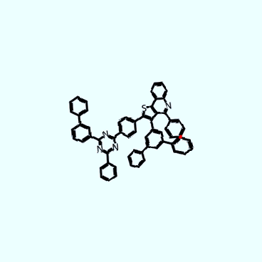 c1ccc(-c2cccc(-c3nc(-c4ccccc4)nc(-c4ccc(-c5sc6c(c(-c7ccccc7)nc7ccccc76)c5-c5cc(-c6ccccc6)cc(-c6ccccc6)c5)cc4)n3)c2)cc1